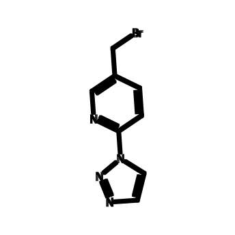 BrCc1ccc(-n2ccnn2)nc1